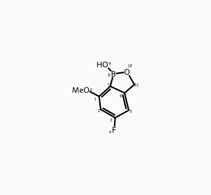 COc1cc(F)cc2c1B(O)OC2